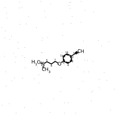 C#Cc1ccc(OCCCN(C)C)cc1